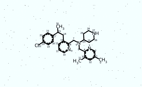 Cc1cnc(CN(Cc2ncccc2CC(C)c2ccc(Cl)cc2)C2CCNCC2)c(C)c1